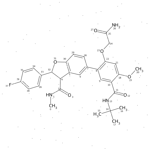 CNC(=O)C1c2cc(-c3cc(C(=O)NC(C)(C)C)c(OC)cc3OCC(N)=O)ccc2OC1c1ccc(F)cc1